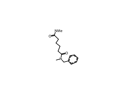 CNC(=O)CCCCC(=O)N(C)Cc1ccccc1